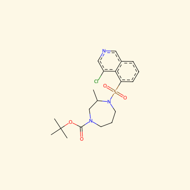 CC1CN(C(=O)OC(C)(C)C)CCCN1S(=O)(=O)c1cccc2cncc(Cl)c12